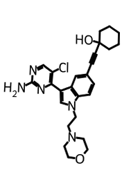 Nc1ncc(Cl)c(-c2cn(CCN3CCOCC3)c3ccc(C#CC4(O)CCCCC4)cc23)n1